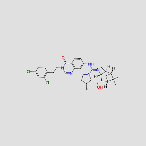 C[C@@H]1[C@@H](/N=C(/Nc2ccc3c(=O)n(CCc4ccc(Cl)cc4Cl)cnc3c2)N2CC[C@H](C)[C@H]2CO)C[C@@H]2C[C@H]1C2(C)C